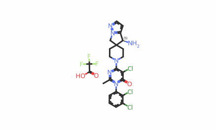 Cc1nc(N2CCC3(CC2)Cn2nccc2[C@H]3N)c(Cl)c(=O)n1-c1cccc(Cl)c1Cl.O=C(O)C(F)(F)F